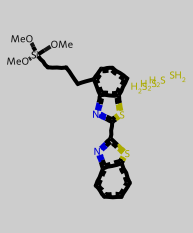 CO[Si](CCCc1cccc2sc(-c3nc4ccccc4s3)nc12)(OC)OC.S.S.S.S